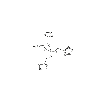 C=CO[Si](OCc1ccco1)(OCc1ccco1)OCc1ccco1